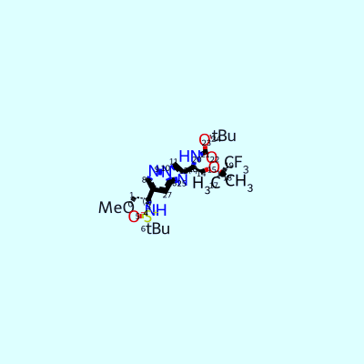 COC[C@@H](N[S+]([O-])C(C)(C)C)c1cnn2cc([C@H](COC(C)(C)C(F)(F)F)NC(=O)OC(C)(C)C)nc2c1